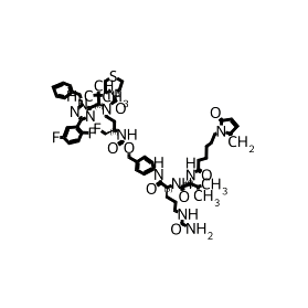 C=C1C=CC(=O)N1CCCCCC(=O)N[C@H](C(=O)N[C@@H](CCCNC(N)=O)C(=O)Nc1ccc(COC(=O)N[C@@H](CF)CCN(C(=O)N2CCSCC2)[C@@H](c2nc(-c3cc(F)ccc3F)nn2Cc2ccccc2)C(C)(C)C)cc1)C(C)C